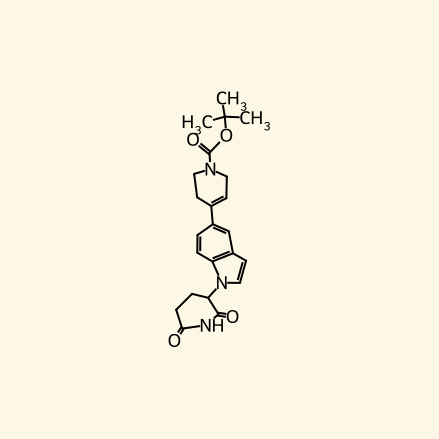 CC(C)(C)OC(=O)N1CC=C(c2ccc3c(ccn3C3CCC(=O)NC3=O)c2)CC1